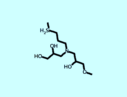 COCC(O)CN(CCC[SiH2]C)CC(O)CO